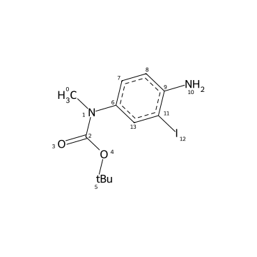 CN(C(=O)OC(C)(C)C)c1ccc(N)c(I)c1